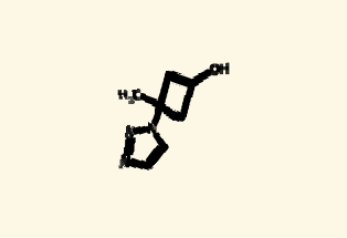 CC1(n2ccnn2)CC(O)C1